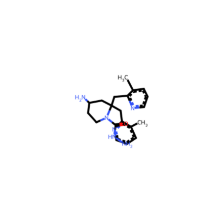 Cc1cccnc1CC1(Cc2ncccc2C)CC(N)CCN1C(=O)NN